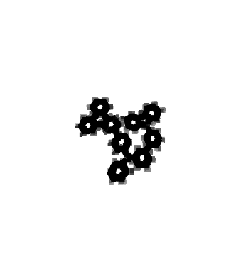 c1ccc(N(c2ccc(-c3cnc4c5ccccc5c5ccccc5c4n3)cc2)c2cccc(-c3cccc(-n4c5ccccc5c5ccccc54)c3)c2)cc1